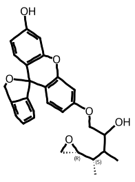 CC(C(O)COc1ccc2c(c1)Oc1cc(O)ccc1C21OCc2ccccc21)[C@H](C)[C@@H]1CO1